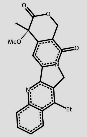 CCc1c2c(nc3ccccc13)-c1cc3c(c(=O)n1C2)COC(=O)[C@@]3(C)OC